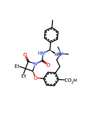 CCC[C@@H](NC(=O)N1C(=O)C(CC)(CC)[C@@H]1Oc1ccc(C(=O)O)c(CCN(C)C)c1)c1ccc(C)cc1